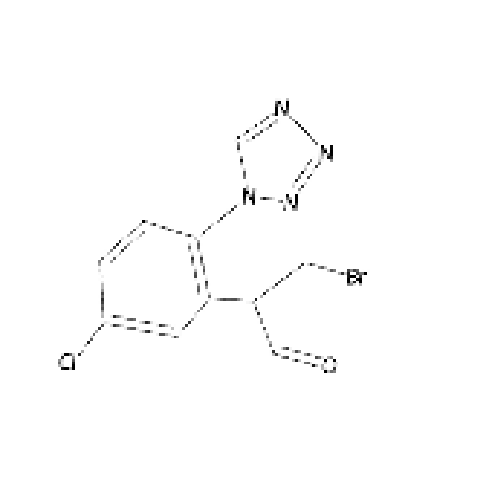 O=CC(CBr)c1cc(Cl)ccc1-n1cnnn1